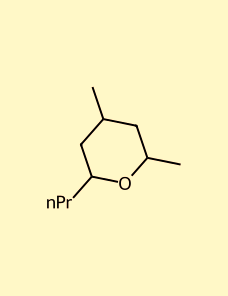 CCCC1CC(C)CC(C)O1